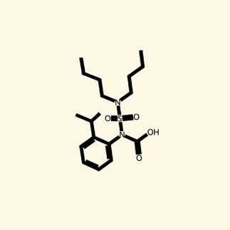 CCCCN(CCCC)S(=O)(=O)N(C(=O)O)c1ccccc1C(C)C